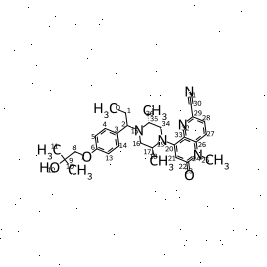 CCC(c1ccc(OCC(C)(C)O)cc1)N1C[C@H](C)N(c2cc(=O)n(C)c3ccc(C#N)nc23)C[C@H]1C